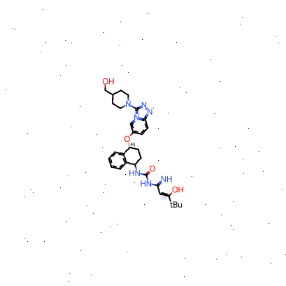 CC(C)(C)/C(O)=C/C(=N)NC(=O)NC1CC[C@@H](Oc2ccc3nnc(N4CCC(CO)CC4)n3c2)c2ccccc21